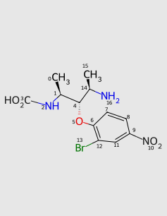 C[C@H](NC(=O)O)[C@@H](Oc1ccc([N+](=O)[O-])cc1Br)[C@@H](C)N